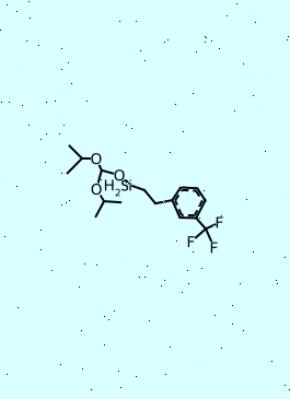 CC(C)OC(O[SiH2]CCc1cccc(C(F)(F)F)c1)OC(C)C